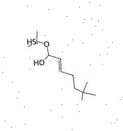 C[SiH](C)OC(O)C=CCCC(C)(C)C